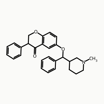 CN1CCCC(C(Oc2ccc3c(c2)C(=O)C(c2ccccc2)CO3)c2ccccc2)C1